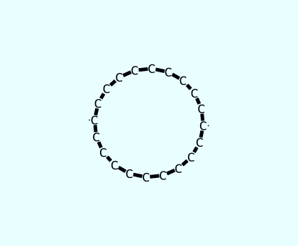 [CH]1CCCCCCCCC[CH]CCCCCCCCC1